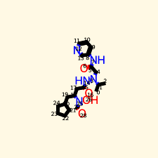 CC(C)N(CC(=O)Nc1cccnc1)NC(=O)CC(CC1CCCC1)N(O)C=O